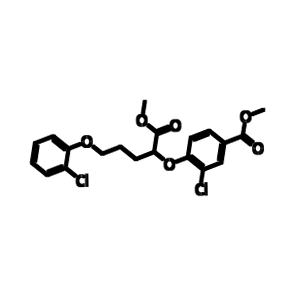 COC(=O)c1ccc(OC(CCCOc2ccccc2Cl)C(=O)OC)c(Cl)c1